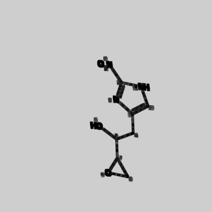 O=[N+]([O-])c1nc(CC(O)C2CO2)c[nH]1